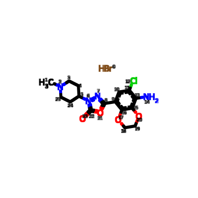 Br.CN1CCC(n2nc(-c3cc(Cl)c(N)c4c3OCCO4)oc2=O)CC1